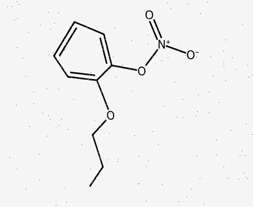 CCCOc1ccccc1O[N+](=O)[O-]